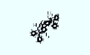 CCC(C)(c1ccc2c(c1)C(C)(C)c1cc3c(cc1-2)C3(CC)N(c1ccccc1)c1ccccc1)N(c1ccccc1)c1ccccc1